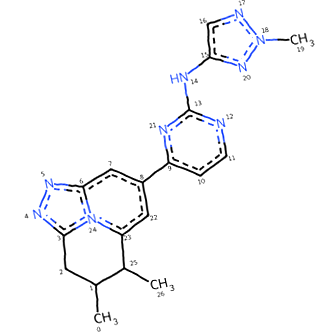 CC1Cc2nnc3cc(-c4ccnc(Nc5cnn(C)n5)n4)cc(n23)C1C